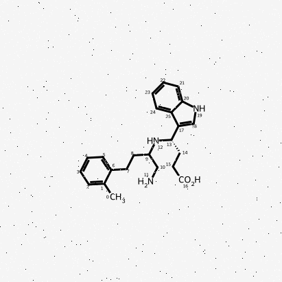 Cc1ccccc1CCC(CN)N[C@@H](CCC(=O)O)c1c[nH]c2ccccc12